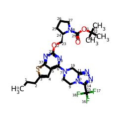 CCCc1cc2c(N3CCn4c(nnc4C(F)(F)F)C3)nc(OC[C@H]3CCCN3C(=O)OC(C)(C)C)nc2s1